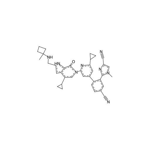 Cn1cc(C#N)nc1-c1cc(C#N)ccc1-c1cc(C2CC2)nc(-n2cc(C3CC3)c3cc(CNC4(C)CCC4)[nH]c3c2=O)c1